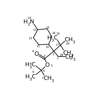 CCC(C(=O)OC(C)(C)C)(C1CCC(N)CC1)C(C)(C)C